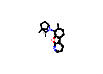 Cc1ccc2c(oc3ncccc32)c1N1C2CCC(C)(C2)[C@@H]1C